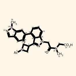 CC(=O)N1CC(c2nn(CC(=O)N(C)CC(=O)O)c3cccc(-c4cc5c(cnn5C)cc4F)c23)C1